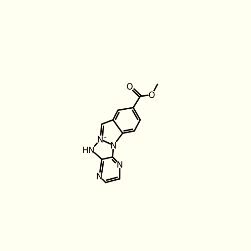 COC(=O)c1ccc2c(c1)c[n+]1[nH]c3nccnc3n21